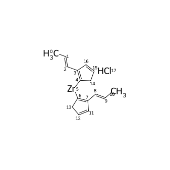 CC=CC1=[C]([Zr][C]2=C(C=CC)C=CC2)CC=C1.Cl